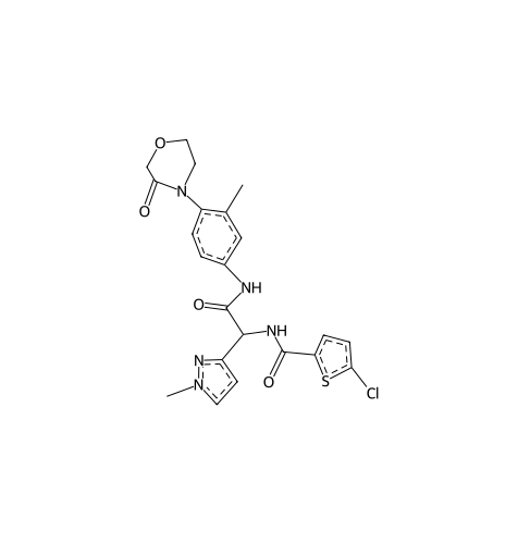 Cc1cc(NC(=O)C(NC(=O)c2ccc(Cl)s2)c2ccn(C)n2)ccc1N1CCOCC1=O